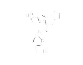 CN(C)S(=O)(=O)c1cn([C@@H](CC2CCCC2)C(=O)Nc2ccc(C(=O)O)cn2)cn1